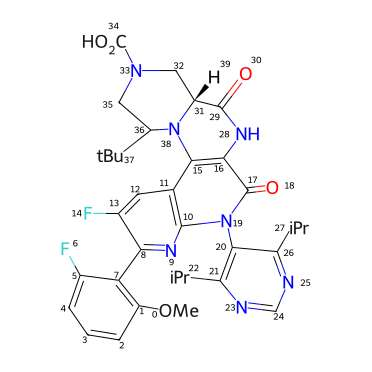 COc1cccc(F)c1-c1nc2c(cc1F)c1c(c(=O)n2-c2c(C(C)C)ncnc2C(C)C)NC(=O)[C@H]2CN(C(=O)O)CC(C(C)(C)C)N12